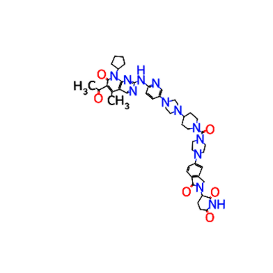 CC(=O)c1c(C)c2cnc(Nc3ccc(N4CCN(C5CCN(C(=O)N6CCN(c7ccc8c(c7)CN(C7CCC(=O)NC7=O)C8=O)CC6)CC5)CC4)cn3)nc2n(C2CCCC2)c1=O